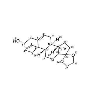 C=CC12CC[C@H](O)CC1=CC[C@@H]1[C@@H]2CC[C@@]2(C)[C@H]1CCC21OCCO1